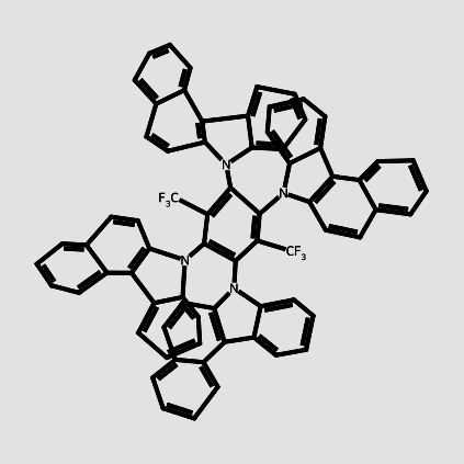 FC(F)(F)c1c(-n2c3ccccc3c3c4ccccc4ccc32)c(-n2c3ccccc3c3c4ccccc4ccc32)c(C(F)(F)F)c(-n2c3ccccc3c3c4ccccc4ccc32)c1-n1c2ccccc2c2c3ccccc3ccc21